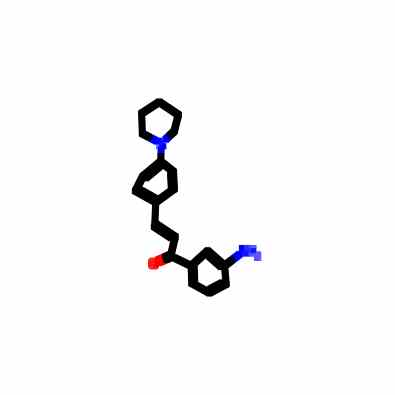 Nc1cccc(C(=O)/C=C/c2ccc(N3CCCCC3)cc2)c1